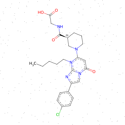 CCCCCn1c(N2CCC[C@H](C(=O)NCC(=O)O)C2)cc(=O)n2cc(-c3ccc(Cl)cc3)nc12